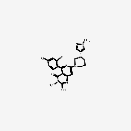 Cc1nc2cc(N3CCC[C@@H](c4cnn(C)c4)C3)nc(-c3ccc(Cl)cc3F)c2c(=O)n1C